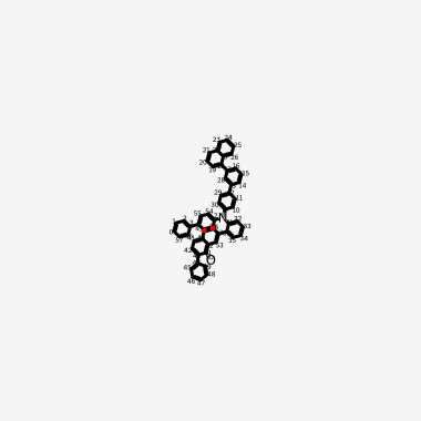 c1ccc(-c2ccc(N(c3ccc(-c4cccc(-c5cccc6ccccc56)c4)cc3)c3ccccc3-c3ccc4ccc5c6ccccc6oc5c4c3)cc2)cc1